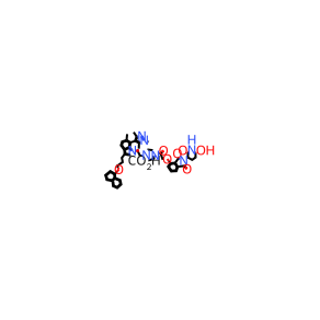 Cc1ccc2c(CCCOc3cccc4ccccc34)c(C(=O)O)n(CCN3CCN(C(=O)COc4cccc5c4C(=O)N(C4CCC(O)NC4=O)C5=O)CC3)c2c1-c1c(C)nn(C)c1C